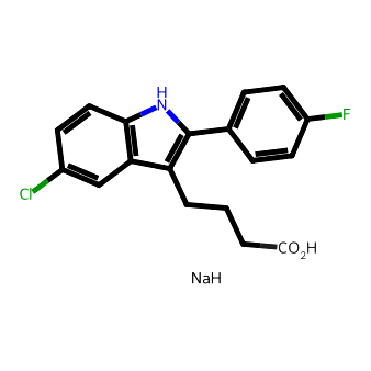 O=C(O)CCCc1c(-c2ccc(F)cc2)[nH]c2ccc(Cl)cc12.[NaH]